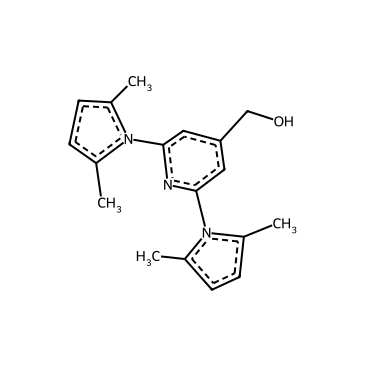 Cc1ccc(C)n1-c1cc(CO)cc(-n2c(C)ccc2C)n1